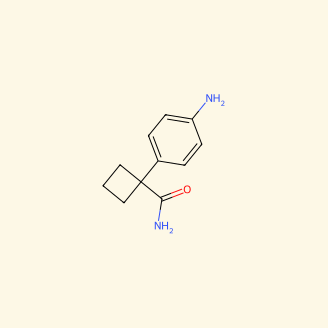 NC(=O)C1(c2ccc(N)cc2)CCC1